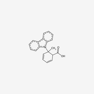 CC1(n2c3ccccc3c3ccccc32)C=CC=CC1C(=O)O